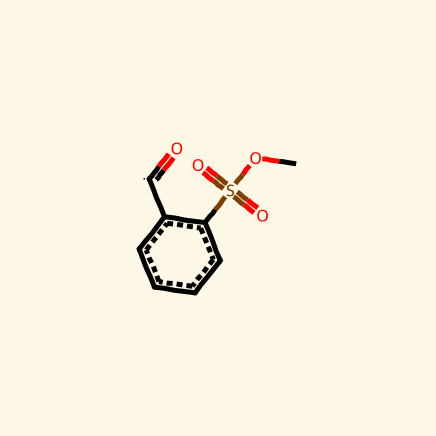 COS(=O)(=O)c1ccccc1[C]=O